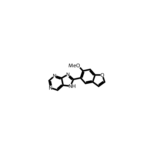 COc1cc2occc2cc1-c1nc2ncncc2[nH]1